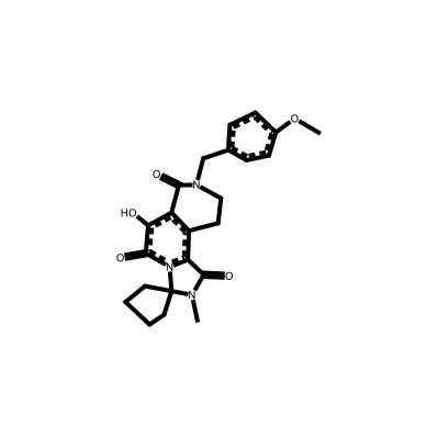 COc1ccc(CN2CCc3c(c(O)c(=O)n4c3C(=O)N(C)C43CCCC3)C2=O)cc1